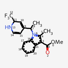 COC(=O)c1c(C)n(C(C)C2=CC(C(F)(F)F)NC=C2)c2ccccc12